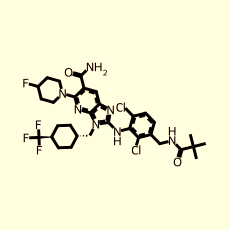 CC(C)(C)C(=O)NCc1ccc(Cl)c(Nc2nc3cc(C(N)=O)c(N4CCC(F)CC4)nc3n2C[C@H]2CC[C@H](C(F)(F)F)CC2)c1Cl